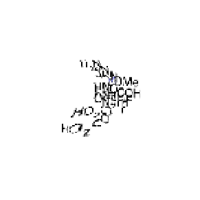 CO/N=C(\C(=O)N[C@@H]1C(=O)N2C(C(=O)O)=C(Cc3ccc(C(=O)O)cc3)CS[C@H]12)c1csc(N)n1.O=C(O)C(F)(F)F